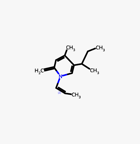 C=C1C=C(C)C(C(C)CC)=CN1/C=C\C